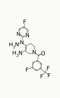 NC1=C(N(N)c2ncc(F)cn2)CCN(C(=O)c2cc(F)cc(C(F)(F)F)c2)C1